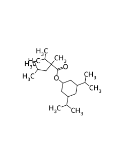 CC(C)CC(C)(C(=O)OC1CC(C(C)C)CC(C(C)C)C1)C(C)C